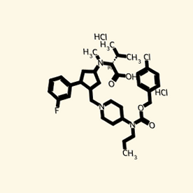 CCCN(C(=O)OCc1ccc(Cl)cc1)C1CCN(CC2CC(N(C)[C@@H](C(=O)O)C(C)C)CC2c2cccc(F)c2)CC1.Cl.Cl